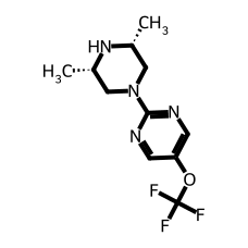 C[C@@H]1CN(c2ncc(OC(F)(F)F)cn2)C[C@H](C)N1